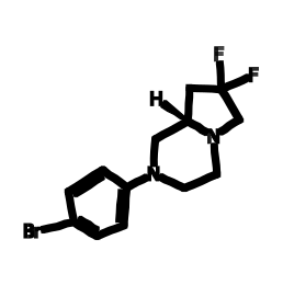 FC1(F)C[C@H]2CN(c3ccc(Br)cc3)CCN2C1